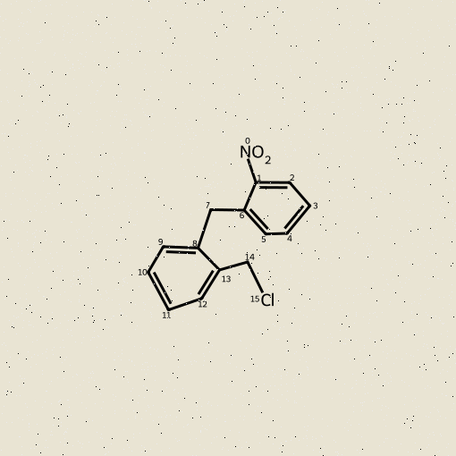 O=[N+]([O-])c1ccccc1Cc1ccccc1CCl